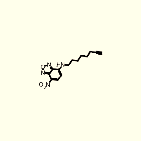 C#CCCCCCCNc1ccc([N+](=O)[O-])c2nonc12